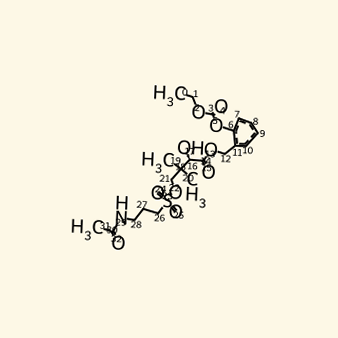 CCOC(=O)Oc1ccccc1COC(=O)[C@H](O)C(C)(C)COS(=O)(=O)CCCNC(C)=O